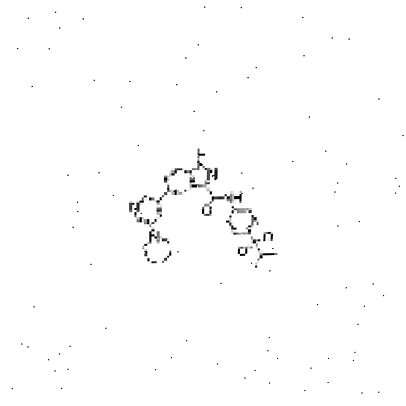 CC(C)S(=O)(=O)c1ccc(NC(=O)c2n[nH]c3ccc(-c4cncc(N5CCCCC5)c4)cc23)cn1